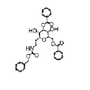 O=C(NCC[C@@H]1O[C@H](COC(=O)c2ccccc2)[C@H](O)[C@H](OC(=O)c2ccccc2)[C@H]1O)OCc1ccccc1